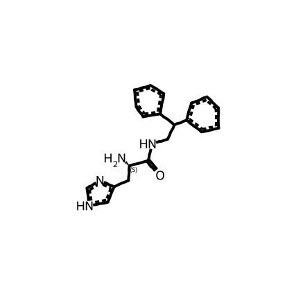 N[C@@H](Cc1c[nH]cn1)C(=O)NCC(c1ccccc1)c1ccccc1